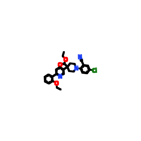 CCOC(=O)C1(c2ccc(-c3ccccc3OCC)nc2)CCN(c2ccc(Cl)cc2C#N)CC1